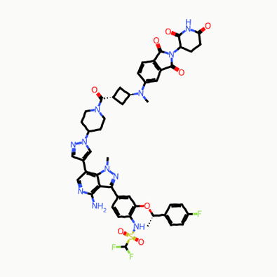 C[C@H](Oc1cc(-c2nn(C)c3c(-c4cnn(C5CCN(C(=O)[C@H]6C[C@H](N(C)c7ccc8c(c7)C(=O)N(C7CCC(=O)NC7=O)C8=O)C6)CC5)c4)cnc(N)c23)ccc1NS(=O)(=O)C(F)F)c1ccc(F)cc1